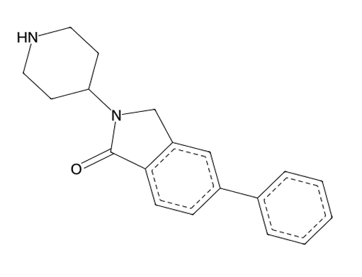 O=C1c2ccc(-c3ccccc3)cc2CN1C1CCNCC1